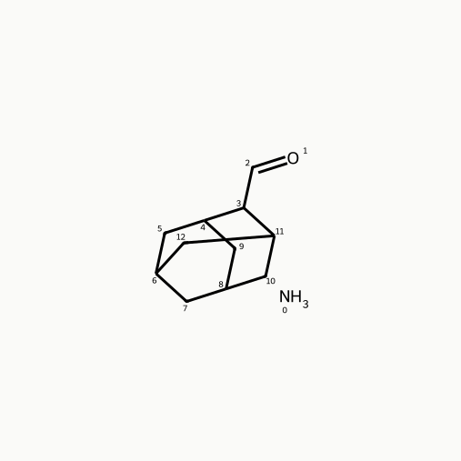 N.O=CC1C2CC3CC(C2)CC1C3